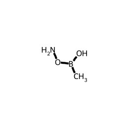 CB(O)ON